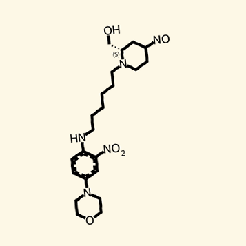 O=NC1CCN(CCCCCCNc2ccc(N3CCOCC3)cc2[N+](=O)[O-])[C@H](CO)C1